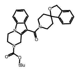 CC(C)(C)OC(=O)N1CCn2c(c(C(=O)N3CCC4(CC3)OCc3ccccc34)c3ccccc32)C1